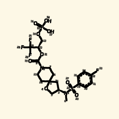 CN([C@H]1COC2(CCN(C(=O)O[C@H](COP(=O)(O)O)C(F)(F)F)CC2)C1)S(=O)(=O)c1ccc(F)cc1